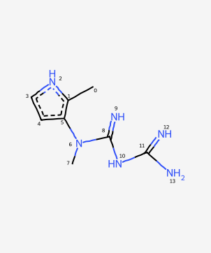 Cc1[nH]ccc1N(C)C(=N)NC(=N)N